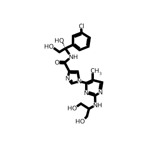 Cc1cnc(NC(CO)CO)nc1-n1cnc(C(=O)N[C@@](O)(CO)c2cccc(Cl)c2)c1